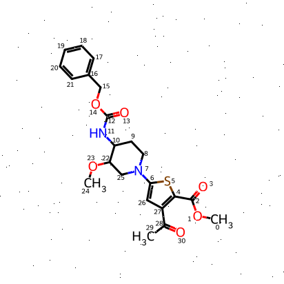 COC(=O)c1sc(N2CCC(NC(=O)OCc3ccccc3)C(OC)C2)cc1C(C)=O